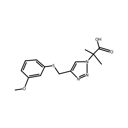 COc1cccc(SCc2cn(C(C)(C)C(=O)O)nn2)c1